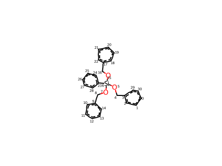 c1ccc(CO[Si](OCc2ccccc2)(OCc2ccccc2)c2ccccc2)cc1